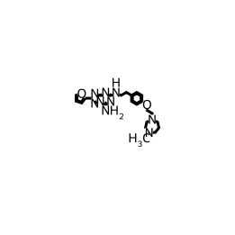 CN1CCCN(CCOc2ccc(CCNc3nc(N)n4nc(-c5ccco5)nc4n3)cc2)CC1